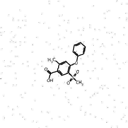 Cc1cc(Oc2ccccc2)c(S(C)(=O)=O)cc1C(=O)O